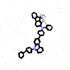 CC1(C)C2=CC(N(C3=CCC(c4ccc5c(c4)C4C=CC=CC4N5c4ccc(-c5ccccc5)cc4)CC3)c3ccccc3)=CCC2C2=C1CCC=C2